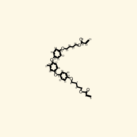 C=CC(=O)OCCCCOc1ccc(Oc2ccc(Oc3ccc(OCCCCOC(=O)C=C)cc3)c(C)c2)cc1